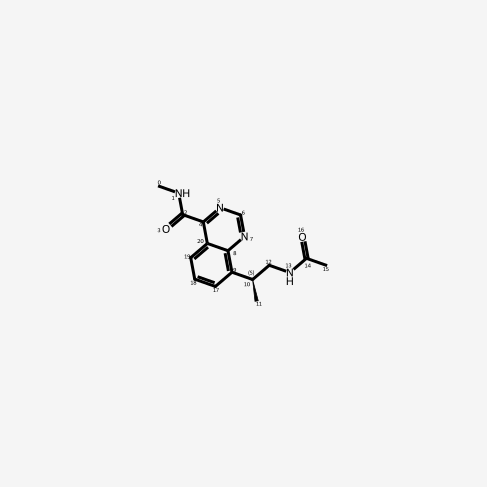 CNC(=O)c1ncnc2c([C@H](C)CNC(C)=O)cccc12